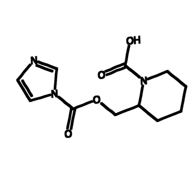 O=C(O)N1CCCCC1COC(=O)n1ccnc1